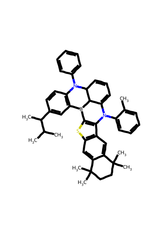 Cc1ccccc1N1C2=CC=CC3C2B(c2cc(C(C)C(C)C)ccc2N3c2ccccc2)c2sc3cc4c(cc3c21)C(C)(C)CCC4(C)C